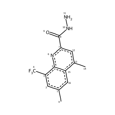 Cc1cc(C(F)(F)F)c2nc(C(=O)NN)cc(C)c2c1